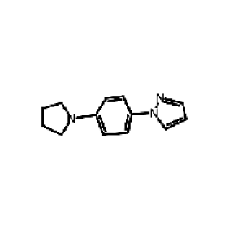 c1cnn(-c2ccc(N3CCCC3)cc2)c1